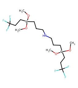 CO[Si](CCCNCCC[Si](CCC(F)(F)F)(OC)OC)(CCC(F)(F)F)OC